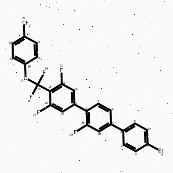 CCc1ccc(-c2ccc(-c3cc(F)c(C(F)(F)Oc4ccc(C(F)(F)F)cc4)c(F)c3)c(F)c2)cc1